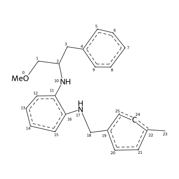 COCC(Cc1ccccc1)Nc1ccccc1NCc1ccc(C)cc1